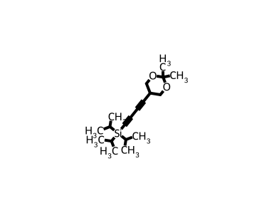 CC(C)[Si](C#CC#CC1COC(C)(C)OC1)(C(C)C)C(C)C